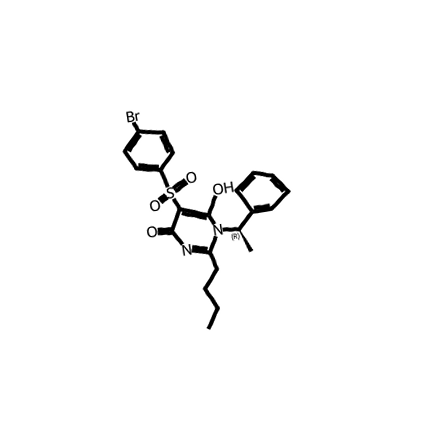 CCCCc1nc(=O)c(S(=O)(=O)c2ccc(Br)cc2)c(O)n1[C@H](C)c1ccccc1